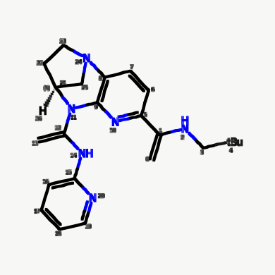 C=C(NCC(C)(C)C)c1ccc2c(n1)N(C(=C)Nc1ccccn1)[C@H]1CCN2C1